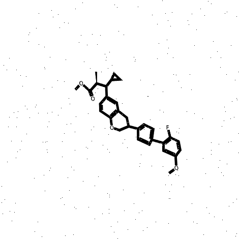 COC(=O)[C@@H](C)C(c1ccc2c(c1)CC(c1ccc(-c3cc(OC)ccc3F)cc1)CO2)C1CC1